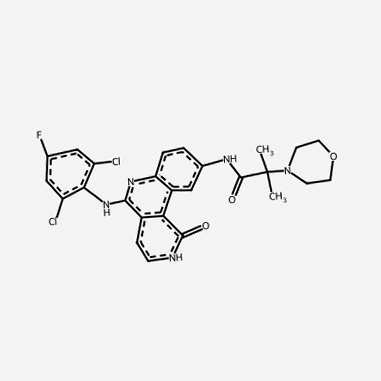 CC(C)(C(=O)Nc1ccc2nc(Nc3c(Cl)cc(F)cc3Cl)c3cc[nH]c(=O)c3c2c1)N1CCOCC1